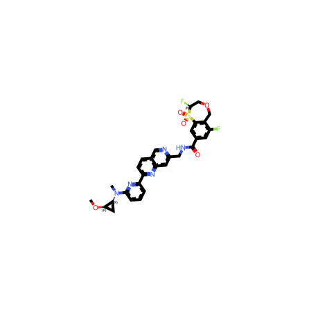 CO[C@@H]1C[C@H]1N(C)c1cccc(-c2ccc3cnc(CNC(=O)c4cc(F)c5c(c4)S(=O)(=O)[C@@H](F)COC5)cc3n2)n1